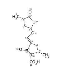 CC1=CC(OC=C2CC(C)N(C(=O)O)C2=O)OC1=O